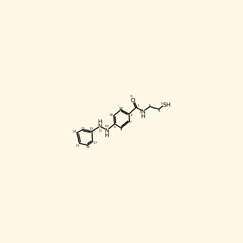 O=C(NCCS)c1ccc(NNc2ccccc2)cc1